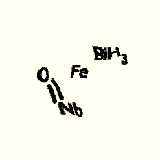 [BiH3].[Fe].[O]=[Nb]